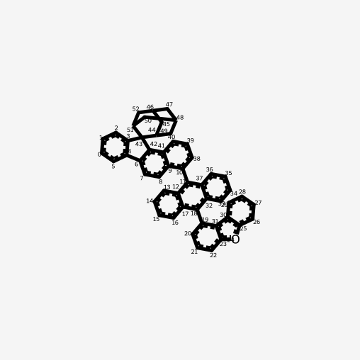 c1ccc2c(c1)-c1ccc3c(-c4c5ccccc5c(-c5cccc6oc7ccccc7c56)c5ccccc45)cccc3c1C21C2CC3CC(C2)CC1C3